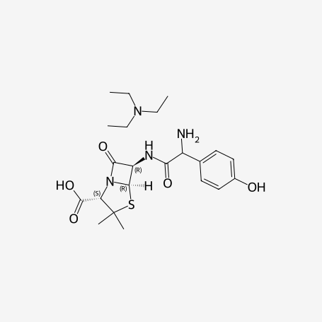 CC1(C)S[C@@H]2[C@H](NC(=O)C(N)c3ccc(O)cc3)C(=O)N2[C@H]1C(=O)O.CCN(CC)CC